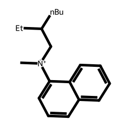 CCCCC(CC)C[N+](C)c1cccc2ccccc12